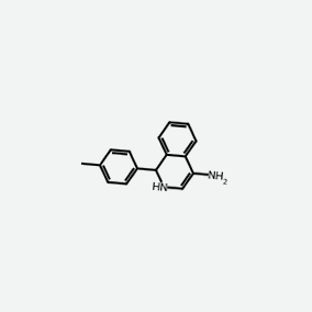 Cc1ccc(C2NC=C(N)c3ccccc32)cc1